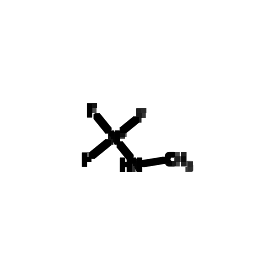 CN[N+](F)(F)F